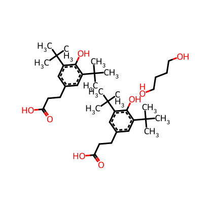 CC(C)(C)c1cc(CCC(=O)O)cc(C(C)(C)C)c1O.CC(C)(C)c1cc(CCC(=O)O)cc(C(C)(C)C)c1O.OCCCCO